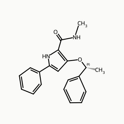 CNC(=O)c1[nH]c(-c2ccccc2)cc1O[C@H](C)c1ccccc1